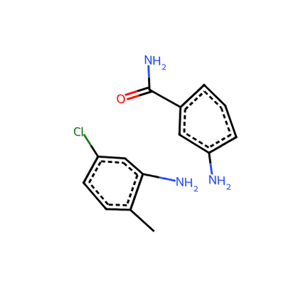 Cc1ccc(Cl)cc1N.NC(=O)c1cccc(N)c1